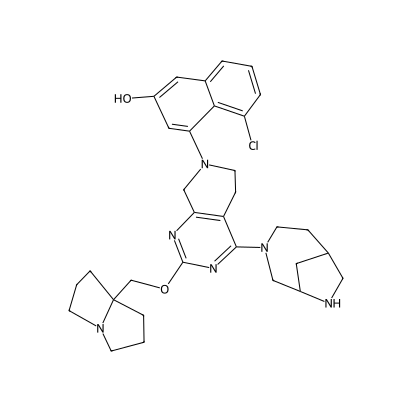 Oc1cc(N2CCc3c(nc(OCC45CCCN4CCC5)nc3N3CCC4CNC(C4)C3)C2)c2c(Cl)cccc2c1